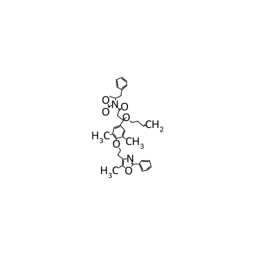 C=CCCOC(CC(=O)N1C(=O)OCC1Cc1ccccc1)c1cc(C)c(OCCc2nc(-c3ccccc3)oc2C)c(C)c1